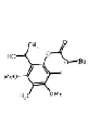 COc1c(C)c(OC)c(C(C)O)c(OC(=O)OC(C)(C)C)c1I